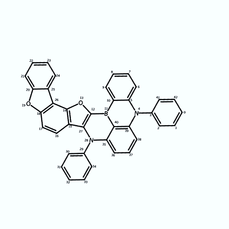 c1ccc(N2c3ccccc3B3c4oc5c(ccc6oc7ccccc7c65)c4N(c4ccccc4)c4cccc2c43)cc1